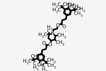 CC1C(OC(=O)CCc2cc(C(C)(C)C)c(O)c(C(C)(C)C)c2)CC(C)(C)N(CCOC(=O)CCc2cc(C(C)(C)C)c(O)c(C(C)(C)C)c2)C1C